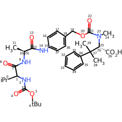 CC(C)C(NC(=O)OC(C)(C)C)C(=O)N[C@@H](C)C(=O)Nc1ccc(COC(=O)N(C)[C@H](C(=O)O)C(C)(C)c2ccccc2)cc1